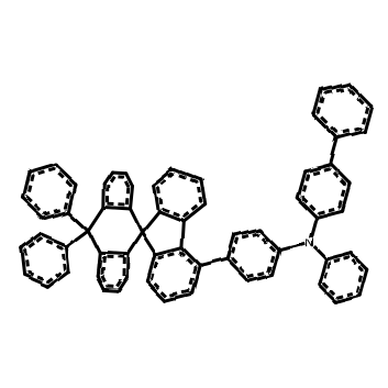 c1ccc(-c2ccc(N(c3ccccc3)c3ccc(-c4cccc5c4-c4ccccc4C54c5ccccc5C(c5ccccc5)(c5ccccc5)c5ccccc54)cc3)cc2)cc1